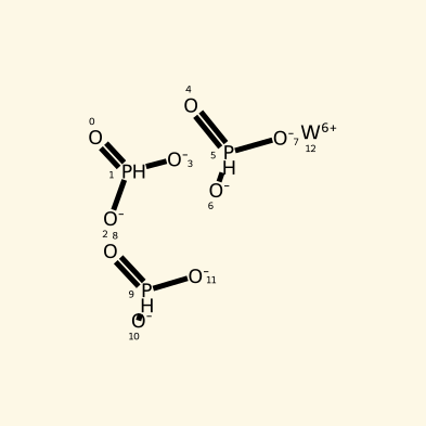 O=[PH]([O-])[O-].O=[PH]([O-])[O-].O=[PH]([O-])[O-].[W+6]